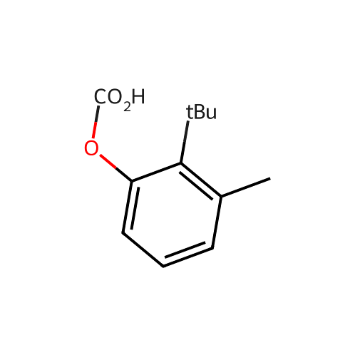 Cc1cccc(OC(=O)O)c1C(C)(C)C